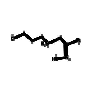 CCC(C[SiH2]CCCCl)=NO